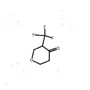 O=C1CCOCC1C(F)(F)F